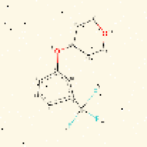 FC(F)(F)c1c[c]cc(OC2CCOCC2)c1